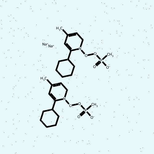 CC1=CCN(OOP(C)(=O)[O-])C(C2CCCCC2)=C1.CC1=CCN(OOP(C)(=O)[O-])C(C2CCCCC2)=C1.[Na+].[Na+]